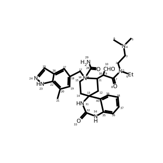 CCN(CCN(C)C)C(=O)C(C=O)C1CC2(CC[N+]1(Cc1cc(C)c3[nH]ncc3c1)C(N)=O)NC(=O)Nc1ccccc12